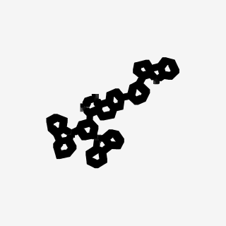 c1cc(-c2ccc3c(ccc4c(-c5cc(-n6c7ccccc7c7ccccc76)cc(-n6c7ccccc7c7ccccc76)c5)ncnc43)c2)cc(-c2cccc3c2sc2ccccc23)c1